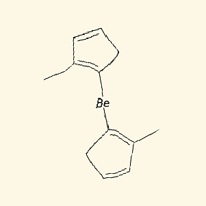 CC1=[C]([Be][C]2=C(C)C=CC2)CC=C1